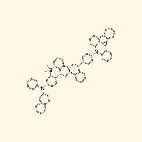 C[Si]1(C)c2cc(N(c3ccccc3)c3ccc4ccccc4c3)ccc2-c2cc3c4ccccc4c(-c4ccc(N(c5ccccc5)c5cccc6c5oc5ccccc56)cc4)cc3c3cccc1c23